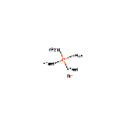 CCCCCC[P+](CCCCC)(CCCCC)CCCCC.[Br-]